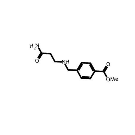 COC(=O)c1ccc(CNCCC(N)=O)cc1